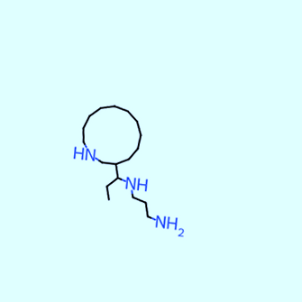 CCC(NCCCN)C1CCCCCCCCCCNC1